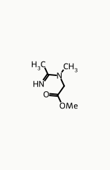 COC(=O)CN(C)C(C)=N